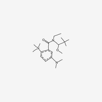 CCN(C(=O)c1cc(N(C)C)ccc1[Si](C)(C)C)C(OC)C(C)(C)C